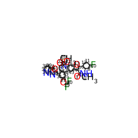 CNC(=O)c1c(-c2ccc(F)cc2)oc2cc(N(C)S(C)(=O)=O)c(-c3cc(OC(F)F)cc(-c4nc5ncccc5o4)c3)cc12